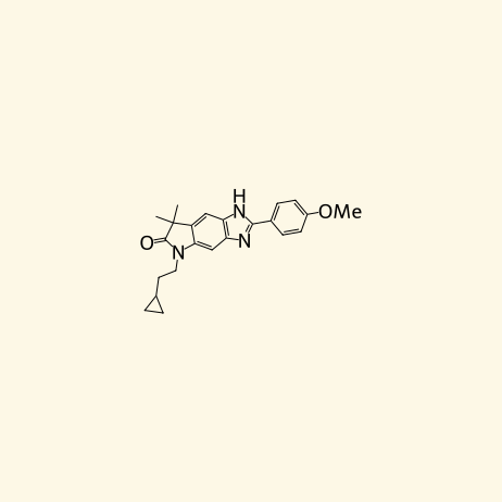 COc1ccc(-c2nc3cc4c(cc3[nH]2)C(C)(C)C(=O)N4CCC2CC2)cc1